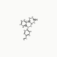 C=Cc1ccc(CCC2CNCCN2c2ccccn2)cc1